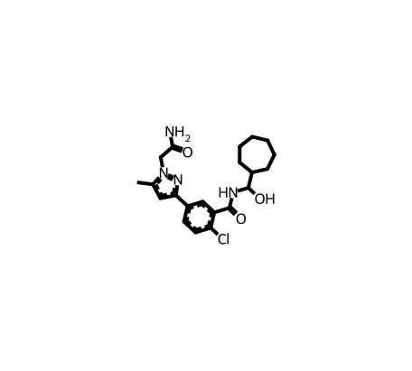 Cc1cc(-c2ccc(Cl)c(C(=O)NC(O)C3CCCCCC3)c2)nn1CC(N)=O